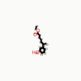 CCOC(=O)CCCC=C(C)c1cccc(O)c1